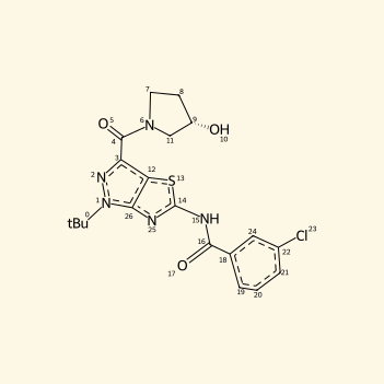 CC(C)(C)n1nc(C(=O)N2CC[C@H](O)C2)c2sc(NC(=O)c3cccc(Cl)c3)nc21